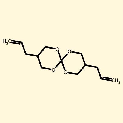 C=CCC1COC2(OC1)OCC(CC=C)CO2